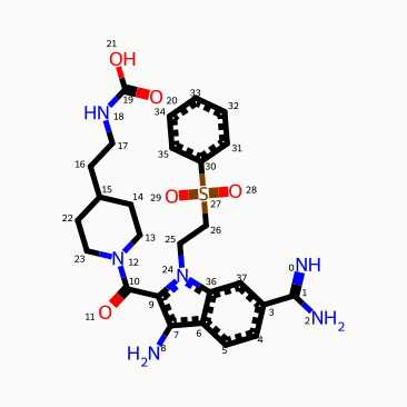 N=C(N)c1ccc2c(N)c(C(=O)N3CCC(CCNC(=O)O)CC3)n(CCS(=O)(=O)c3ccccc3)c2c1